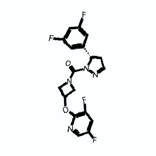 O=C(N1CC(Oc2ncc(F)cc2F)C1)N1N=CC[C@H]1c1cc(F)cc(F)c1